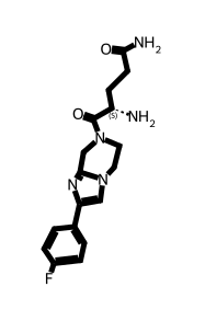 NC(=O)CC[C@H](N)C(=O)N1CCn2cc(-c3ccc(F)cc3)nc2C1